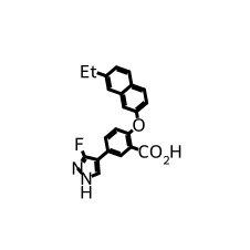 CCc1ccc2ccc(Oc3ccc(-c4c[nH]nc4F)cc3C(=O)O)cc2c1